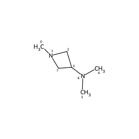 CN1CC(N(C)C)C1